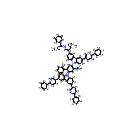 C=C/C(=C\N=C(/C)c1ccccc1)c1ccc2c(c1)c1cc(-c3ccc(-c4ccccc4)nc3)ccc1n2-c1cc(-c2c(F)cccc2F)c(-n2c3ccc(-c4ccc(-c5ccccc5)nc4)cc3c3cc(-c4ccc(-c5ccccc5)nc4)ccc32)cc1C#N